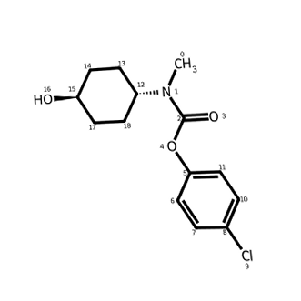 CN(C(=O)Oc1ccc(Cl)cc1)[C@H]1CC[C@H](O)CC1